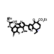 C/C=C1/CC=C(C(=O)OCC)C(=O)c2cc(-c3cnc4[nH]c5c(N(C)C(=O)OC(C)(C)C)cc(F)c(F)c5c4c3N(C)C)cnc21